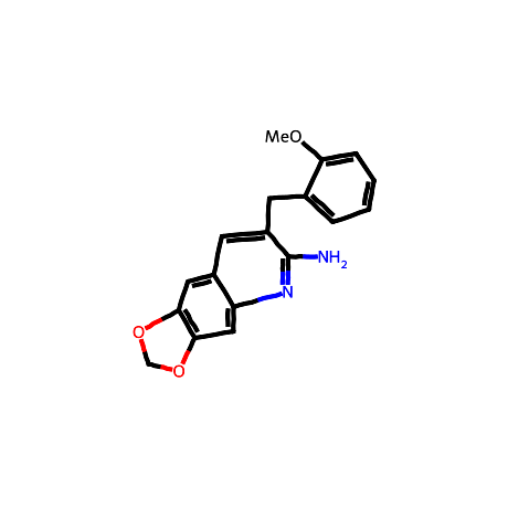 COc1ccccc1Cc1cc2cc3c(cc2nc1N)OCO3